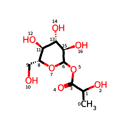 CC(O)C(=O)OC1O[C@H](CO)[C@@H](O)[C@H](O)[C@H]1O